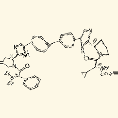 CCN(CC)[C@@H](C(=O)N1CCC[C@H]1c1ncc(-c2ccc(-c3ccc(-c4cnc([C@@H]5CCCN5C(=O)[C@H](NC(=O)O)C5CC5)[nH]4)cc3)cc2)[nH]1)c1ccccc1